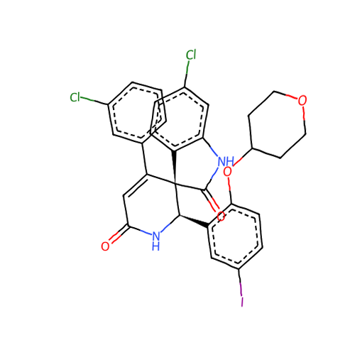 O=C1C=C(c2cccc(Cl)c2)[C@]2(C(=O)Nc3cc(Cl)ccc32)[C@@H](c2cc(I)ccc2OC2CCOCC2)N1